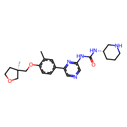 Cc1cc(-c2cncc(NC(=O)N[C@H]3CCCNC3)n2)ccc1OC[C@]1(C)CCOC1